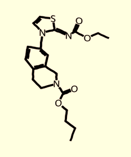 CCCCOC(=O)N1CCc2ccc(-n3ccs/c3=N\C(=O)OCC)cc2C1